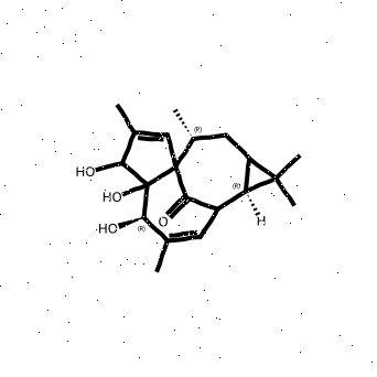 CC1=CC23C(=O)C(C=C(C)[C@@H](O)C2(O)C1O)[C@H]1C(C[C@H]3C)C1(C)C